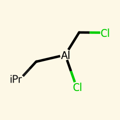 CC(C)[CH2][Al]([Cl])[CH2]Cl